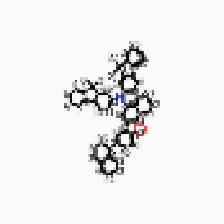 CC1(C)c2ccccc2-c2ccc(N(c3ccc4c(c3)C(C)(C)c3ccccc3-4)c3cc4c5cc(-c6cccc7ccccc67)ccc5oc4c4ccccc34)cc21